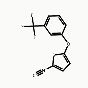 [C-]#[N+]c1ccc(Oc2cccc(C(F)(F)F)c2)s1